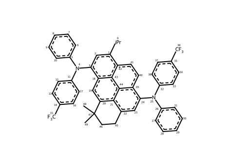 CC(C)c1cc(N(c2ccccc2)c2ccc(C(F)(F)F)cc2)c2cc3c4c(cc(N(c5ccccc5)c5ccc(C(F)(F)F)cc5)c5ccc1c2c54)CCC3(C)C